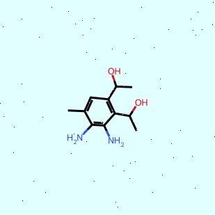 Cc1cc(C(C)O)c(C(C)O)c(N)c1N